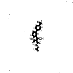 CC(=O)CNC(=O)c1c(O)c2cc(-c3ccc(C(F)(F)F)cc3)ccc2n(C)c1=O